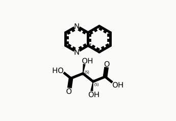 O=C(O)[C@@H](O)[C@H](O)C(=O)O.c1ccc2nccnc2c1